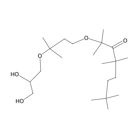 CC(C)(C)CCC(C)(C)C(=O)C(C)(C)OCCC(C)(C)OCC(O)CO